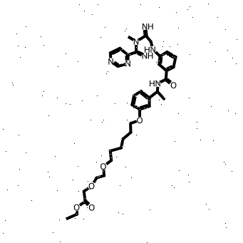 CCOC(=O)COCCOCCCCCCOc1cccc(C(C)NC(=O)c2cccc(NCC(=N)N(C)C(=N)c3ccncn3)c2)c1